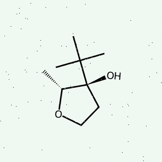 C[C@H]1OCC[C@@]1(O)C(C)(C)C